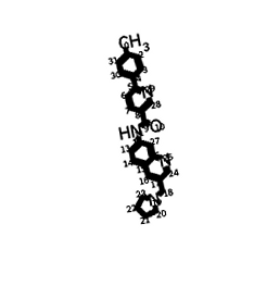 Cc1ccc(-c2ccc(C(=O)Nc3ccc4cc(CN5CCCC5)cnc4c3)cn2)cc1